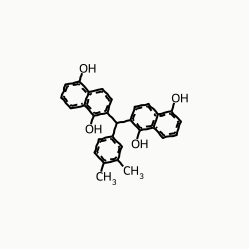 Cc1ccc(C(c2ccc3c(O)cccc3c2O)c2ccc3c(O)cccc3c2O)cc1C